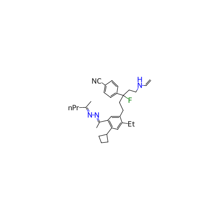 C=CNCCC(F)(CCc1cc(/C(C)=N/N=C(\C)CCC)c(C2CCC2)cc1CC)c1ccc(C#N)cc1